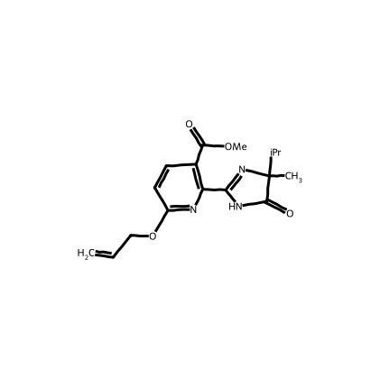 C=CCOc1ccc(C(=O)OC)c(C2=NC(C)(C(C)C)C(=O)N2)n1